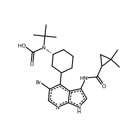 CC1(C)CC1C(=O)Nc1c[nH]c2ncc(Br)c(C3CCC[C@@H](N(C(=O)O)C(C)(C)C)C3)c12